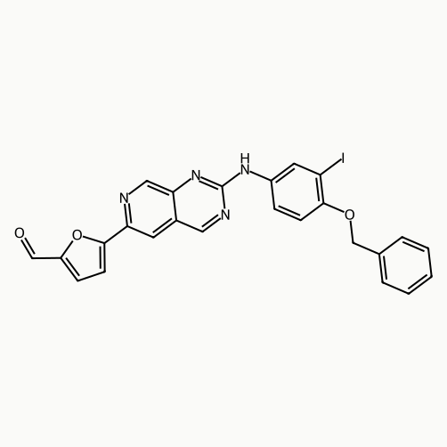 O=Cc1ccc(-c2cc3cnc(Nc4ccc(OCc5ccccc5)c(I)c4)nc3cn2)o1